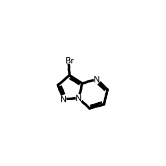 Brc1cnn2cccnc12